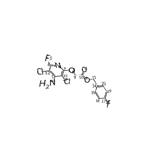 Nc1c(Cl)c(F)nc(OCC(=O)OCc2ccc(F)cc2)c1Cl